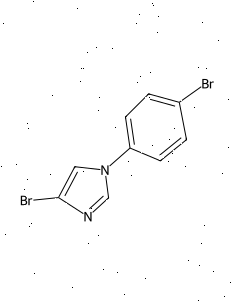 Brc1ccc(-n2cnc(Br)c2)cc1